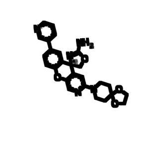 NC1=N[C@@]2(CO1)c1cc(-c3cccnc3)ccc1Oc1cnc(N3CCC4(CC3)OCCO4)cc12